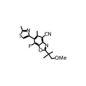 COCC(C)(C)c1nc2c(C#N)c(C)c(-c3csc(C)n3)c(F)c2o1